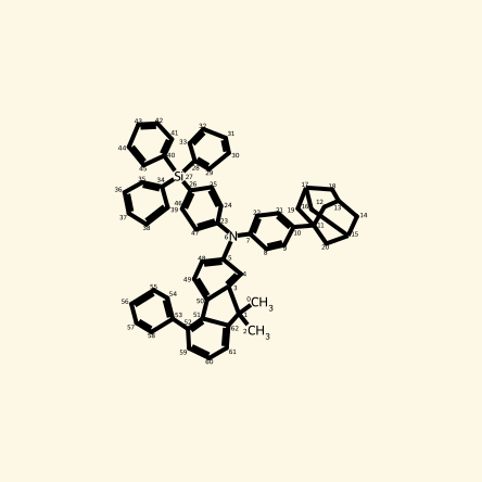 CC1(C)c2cc(N(c3ccc(C45CC6CC(CC(C6)C4)C5)cc3)c3ccc([Si](c4ccccc4)(c4ccccc4)c4ccccc4)cc3)ccc2-c2c(-c3ccccc3)cccc21